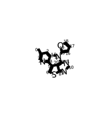 Cc1ccc(-c2csc3ncnc(N(C)c4ccco4)c23)nc1